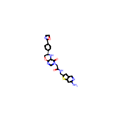 Nc1cc2sc(CNC(=O)Cn3cnc4c(c3=O)N[C@H](c3ccc(-c5ncco5)cc3)CO4)cc2cn1